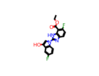 CCOC(=O)c1c(F)ccc2nc(-n3cc(O)c4cc(F)ccc43)[nH]c12